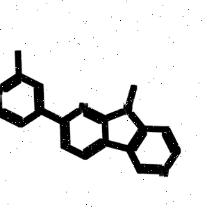 Cc1cc(-c2ccc3c4cnccc4n(C)c3n2)ccn1